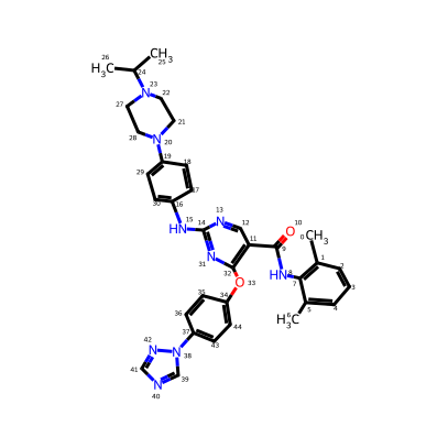 Cc1cccc(C)c1NC(=O)c1cnc(Nc2ccc(N3CCN(C(C)C)CC3)cc2)nc1Oc1ccc(-n2cncn2)cc1